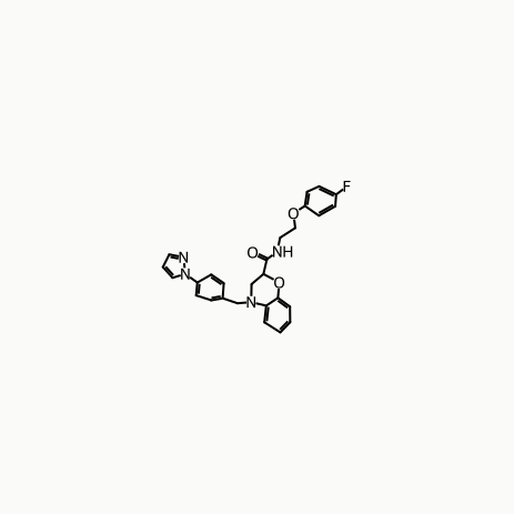 O=C(NCCOc1ccc(F)cc1)C1CN(Cc2ccc(-n3cccn3)cc2)c2ccccc2O1